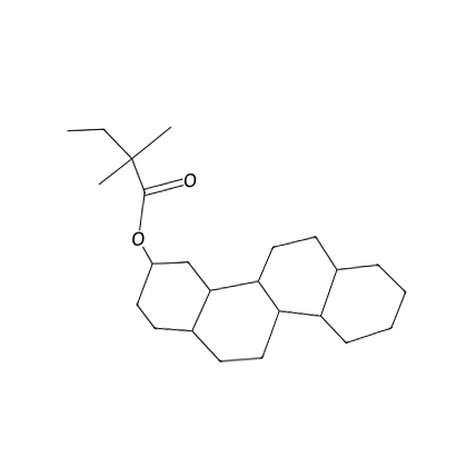 CCC(C)(C)C(=O)OC1CCC2CCC3C4CCCCC4CCC3C2C1